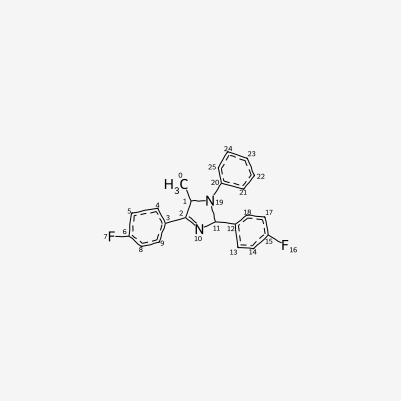 CC1C(c2ccc(F)cc2)=NC(c2ccc(F)cc2)N1c1ccccc1